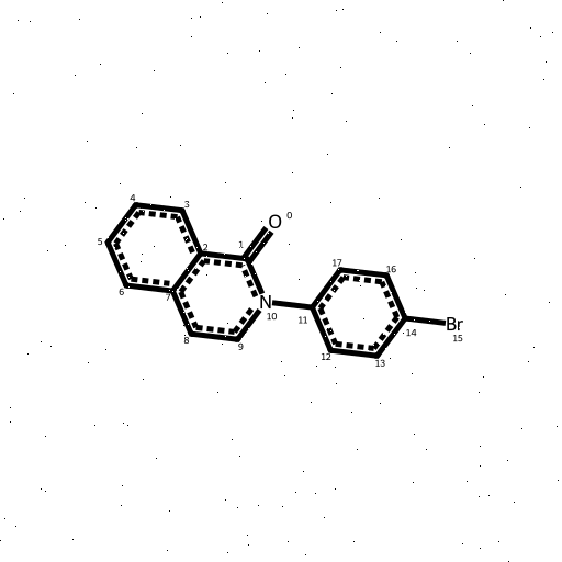 O=c1c2ccccc2ccn1-c1ccc(Br)cc1